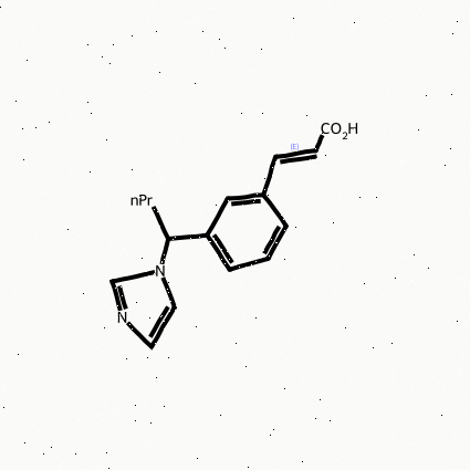 CCCC(c1cccc(/C=C/C(=O)O)c1)n1ccnc1